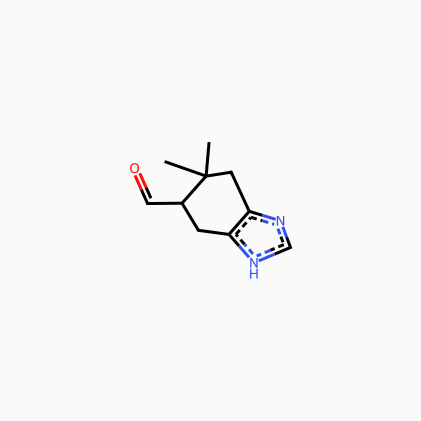 CC1(C)Cc2nc[nH]c2CC1C=O